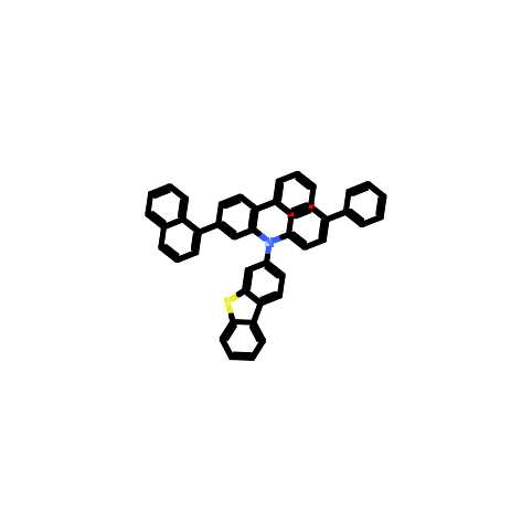 c1ccc(-c2ccc(N(c3ccc4c(c3)sc3ccccc34)c3cc(-c4cccc5ccccc45)ccc3-c3ccccc3)cc2)cc1